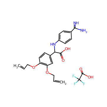 C=CCOc1ccc(C(Nc2ccc(C(=N)N)cc2)C(=O)O)cc1OCC=C.O=C(O)C(F)(F)F